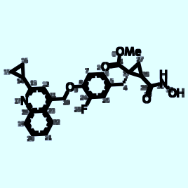 COC(=O)[C@@]1(Cc2ccc(OCc3cc(C4CC4)nc4ccccc34)c(F)c2)CC1C(=O)NO